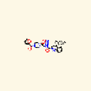 COc1cc(C(=O)NCC(=O)N2CCN(C(=O)c3ccco3)CC2)nc2ccccc12